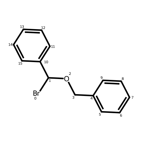 BrC(OCc1ccccc1)c1ccccc1